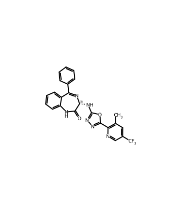 Cc1cc(C(F)(F)F)cnc1-c1nnc(N[C@H]2N=C(c3ccccc3)c3ccccc3NC2=O)o1